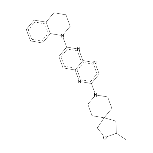 CC1CC2(CCN(c3cnc4nc(N5CCCc6ccccc65)ccc4n3)CC2)CO1